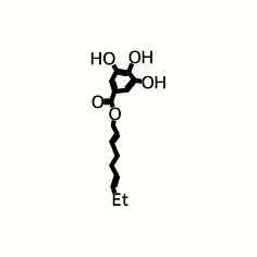 CCC=CCCC=CCOC(=O)c1cc(O)c(O)c(O)c1